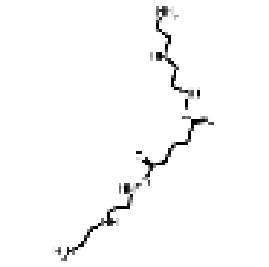 NCCNCCNOC(=O)CCCC(=O)ONCCNCCN